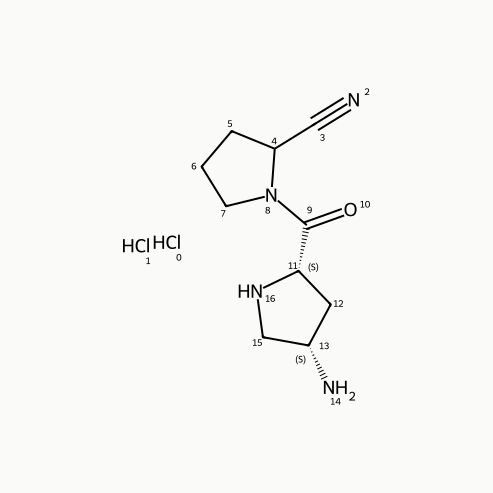 Cl.Cl.N#CC1CCCN1C(=O)[C@@H]1C[C@H](N)CN1